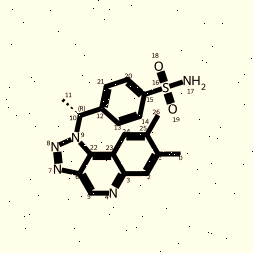 Cc1cc2ncc3nnn([C@H](C)c4ccc(S(N)(=O)=O)cc4)c3c2cc1C